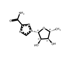 C[C@H]1O[C@@H](n2cnc(C(N)=O)n2)[C@H](O)[C@@H]1O